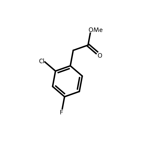 COC(=O)Cc1ccc(F)cc1Cl